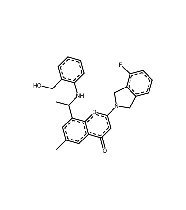 Cc1cc(C(C)Nc2ccccc2CO)c2oc(N3Cc4cccc(F)c4C3)cc(=O)c2c1